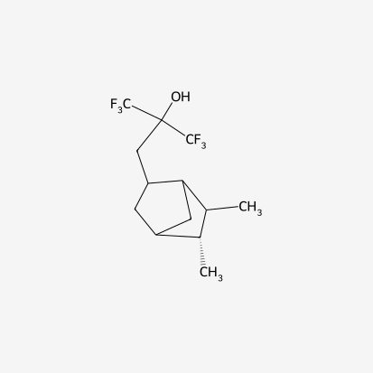 CC1C2CC(CC2CC(O)(C(F)(F)F)C(F)(F)F)[C@H]1C